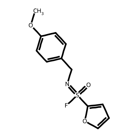 COc1ccc(CN=S(=O)(F)c2ccco2)cc1